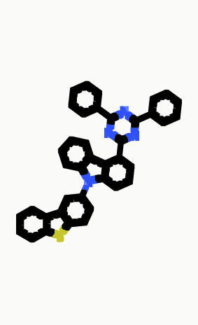 c1ccc(-c2nc(-c3ccccc3)nc(-c3cccc4c3c3ccccc3n4-c3ccc4sc5ccccc5c4c3)n2)cc1